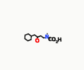 CN(CCC(=O)CC1CCCCC1)C(=O)O